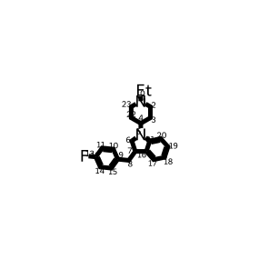 CCN1CCC(N2CC(Cc3ccc(F)cc3)c3ccccc32)CC1